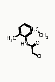 CC.Cc1ccccc1NC(=O)CCl